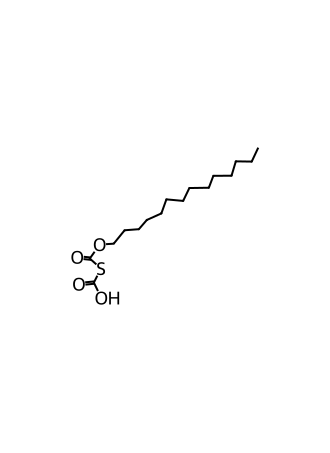 CCCCCCCCCCCCCCOC(=O)SC(=O)O